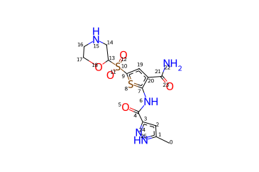 Cc1cc(C(=O)Nc2sc(S(=O)(=O)C3CNCCO3)cc2C(N)=O)n[nH]1